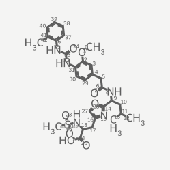 COc1cc(CC(=O)NC(CC(C)C)c2nc(CC(NS(C)(=O)=O)C(=O)O)co2)ccc1NC(=O)Nc1ccccc1C